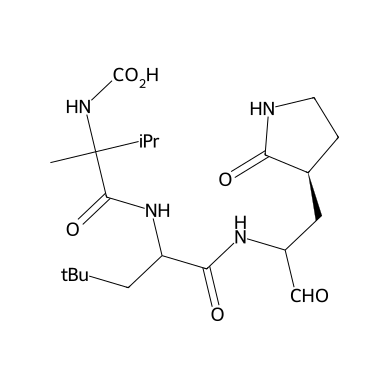 CC(C)C(C)(NC(=O)O)C(=O)NC(CC(C)(C)C)C(=O)NC(C=O)C[C@@H]1CCNC1=O